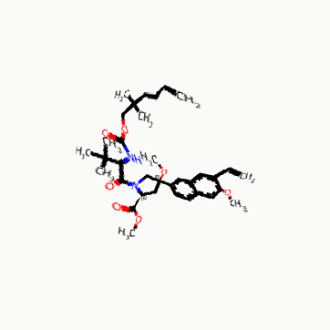 C=CCCC(C)(C)COC(=O)NC(C(=O)N1C[C@](OC)(c2ccc3cc(OC)c(C=C)cc3c2)C[C@H]1C(=O)OC)C(C)(C)C